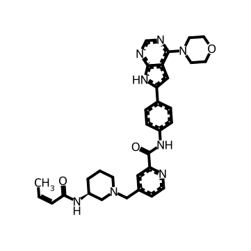 C/C=C\C(=O)N[C@H]1CCCN(Cc2ccnc(C(=O)Nc3ccc(-c4cc5c(N6CCOCC6)ncnc5[nH]4)cc3)c2)C1